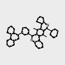 Cc1c2c(-c3cccc(-c4cc5ccccc5c5ccccc45)c3)nc3ccccc3c2c(C)c2c(-c3ccccc3)nc3ccccc3c12